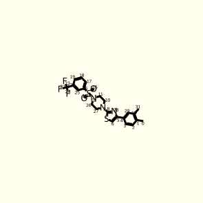 Cc1ccc(-c2csc(N3CCN(S(=O)(=O)c4cccc(C(F)(F)F)c4)CC3)n2)cc1C